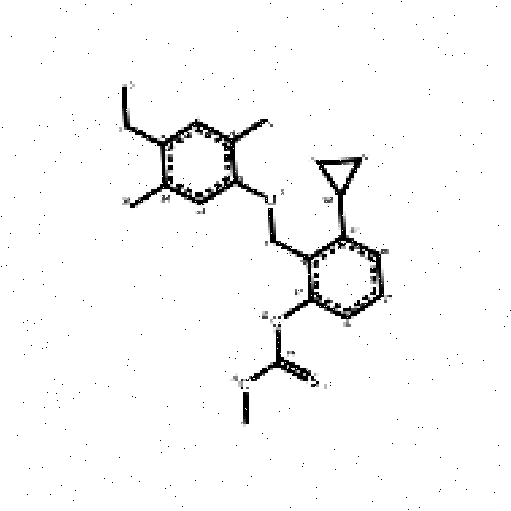 CCc1cc(C)c(OCc2c(OC(=S)OC)cccc2C2CC2)cc1C